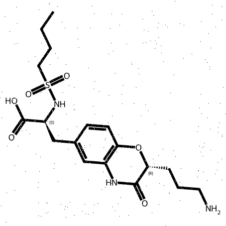 CCCCS(=O)(=O)N[C@@H](Cc1ccc2c(c1)NC(=O)[C@@H](CCCN)O2)C(=O)O